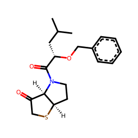 CC(C)C[C@H](OCc1ccccc1)C(=O)N1CC[C@H]2SCC(=O)[C@H]21